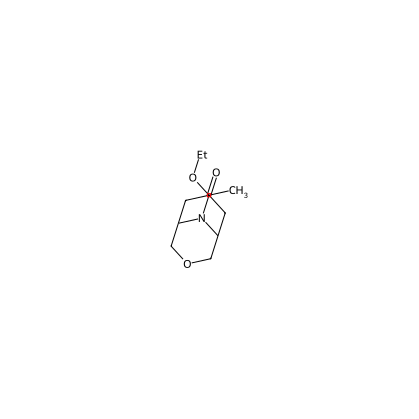 CCOC(C)N1C2COCC1CC(=O)C2